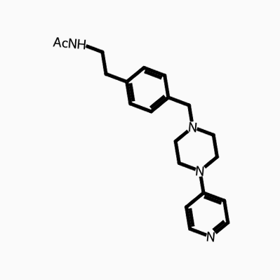 CC(=O)NCCc1ccc(CN2CCN(c3ccncc3)CC2)cc1